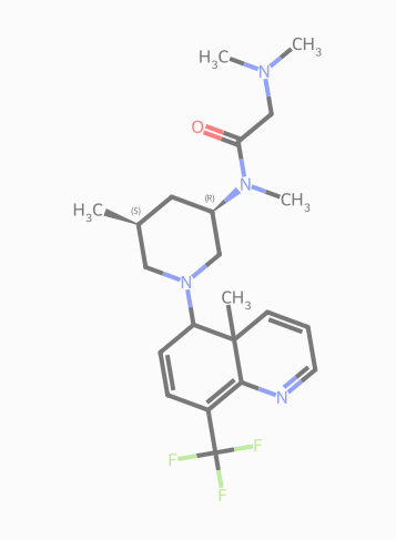 C[C@H]1C[C@@H](N(C)C(=O)CN(C)C)CN(C2C=CC(C(F)(F)F)=C3N=CC=CC32C)C1